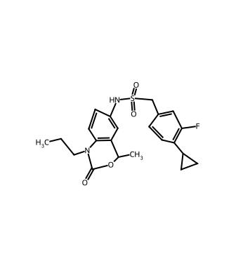 CCCN1C(=O)OC(C)c2cc(NS(=O)(=O)Cc3ccc(C4CC4)c(F)c3)ccc21